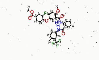 CCOC(=O)C1CCC(Oc2cc(C(=O)NC3C4CCC(C4)C3C(=O)Nc3ccc(C)c(C(F)(F)F)c3)c(OC)cc2F)CC1